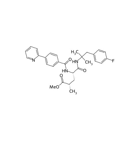 COC(=O)[C@@H](C)C[C@H](NC(=O)c1ccc(-c2ccccn2)cc1)C(=O)NC(C)(C)Cc1ccc(F)cc1